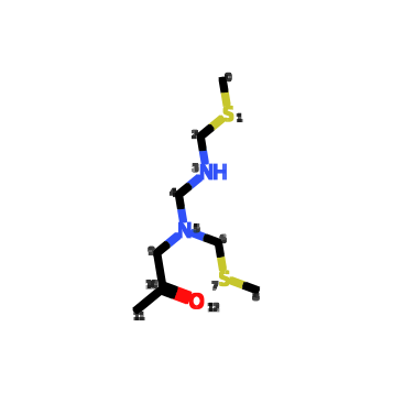 CSCNCN(CSC)CC(C)=O